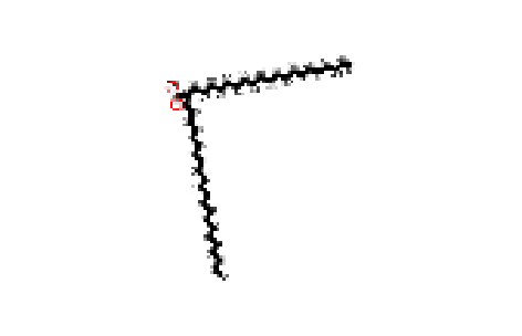 CCCCCCCCCCCCCCCCCCCCC=C1OC(=O)C1CCCCCCCCCCCCCCCCCCCC